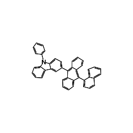 c1ccc(-n2c3ccccc3c3cc(-c4c5ccccc5c(-c5cccc6ccccc56)c5ccccc45)ccc32)cc1